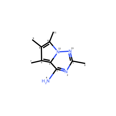 Cc1nc(N)c2c(C)c(C)c(C)n2n1